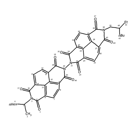 CCCCCCC(C)N1C(=O)c2ccc3c4c(ccc(c24)C1=O)C(=O)N(N1C(=O)c2ccc4c5c(ccc(c25)C1=O)C(=O)N(CC(CC)CCCC)C4=O)C3=O